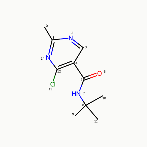 Cc1ncc(C(=O)NC(C)(C)C)c(Cl)n1